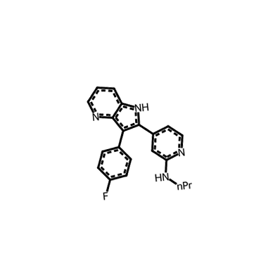 CCCNc1cc(-c2[nH]c3cccnc3c2-c2ccc(F)cc2)ccn1